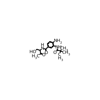 CC(=O)C(CO)NC(=O)c1ccc(N)c(NC(=O)C(C)(C)C)c1